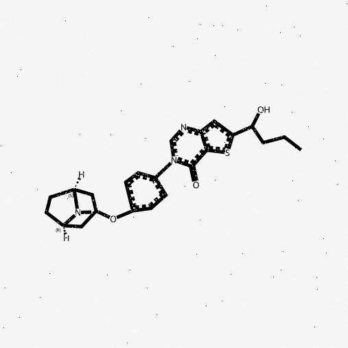 CCCC(O)c1cc2ncn(-c3ccc(OC4C[C@H]5CC[C@@H](C4)N5C)cc3)c(=O)c2s1